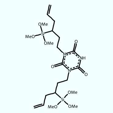 C=CCC(CCn1c(=O)[nH]c(=O)n(CCC(CC=C)[Si](OC)(OC)OC)c1=O)[Si](OC)(OC)OC